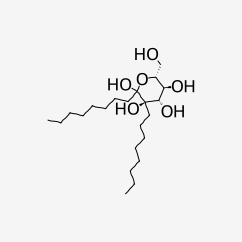 CCCCCCCCC1(O)O[C@H](CO)[C@@H](O)[C@H](O)[C@]1(O)CCCCCCCC